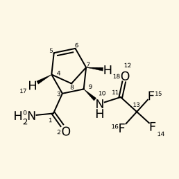 NC(=O)C1[C@@H]2C=C[C@@H](C2)[C@H]1NC(=O)C(F)(F)F